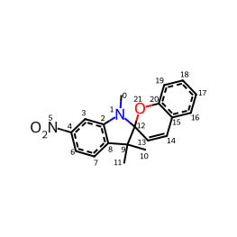 CN1c2cc([N+](=O)[O-])ccc2C(C)(C)C12C=Cc1ccccc1O2